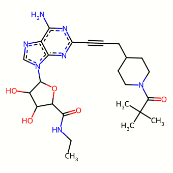 CCNC(=O)C1OC(n2cnc3c(N)nc(C#CCC4CCN(C(=O)C(C)(C)C)CC4)nc32)C(O)C1O